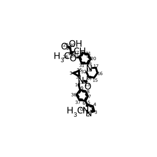 Cn1nccc1-c1ccc(CN(C(=O)[C@H]2CCCN(c3cccc(OC(C)(C)C(=O)O)c3)C2)C2CC2)cc1